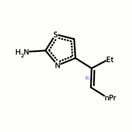 CCC/C=C(\CC)c1csc(N)n1